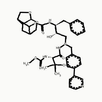 COC(=O)N[C@H](C(=O)NN(Cc1ccc(-c2cccnc2)cc1)C[C@H](O)[C@H](Cc1ccccc1)NC(=O)OC1C2COC3OCC1C3C2)C(C)(C)C